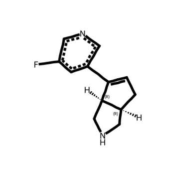 Fc1cncc(C2=CC[C@H]3CNC[C@@H]23)c1